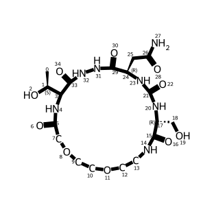 C[C@H](O)C1NC(=O)COCCOCCNC(=O)[C@@H](CO)NC(=O)N[C@H](CC(N)=O)C(=O)NNC1=O